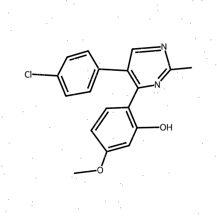 COc1ccc(-c2nc(C)ncc2-c2ccc(Cl)cc2)c(O)c1